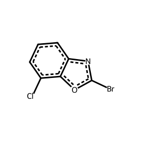 Clc1cccc2nc(Br)oc12